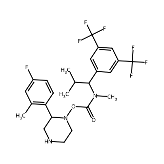 Cc1cc(F)ccc1C1CNCCN1OC(=O)N(C)C(c1cc(C(F)(F)F)cc(C(F)(F)F)c1)C(C)C